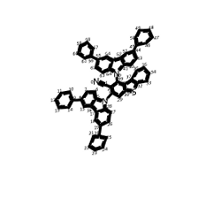 N#Cc1c(-n2c3ccc(-c4ccccc4)cc3c3cc(-c4ccccc4)ccc32)cc2sc3ccccc3c2c1-n1c2ccc(-c3ccccc3)cc2c2cc(-c3ccccc3)ccc21